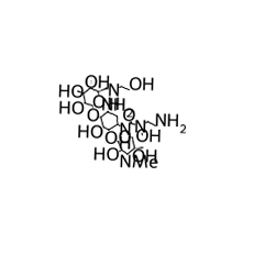 CN[C@@H]1[C@@H](O)[C@@H](O[C@H]2[C@H](NC(=O)N(O)CCN)C[C@H](N)C(O[C@H]3O[C@H](CNCCO)[C@@H](O)[C@H](O)[C@H]3O)[C@@H]2O)OC[C@]1(C)O